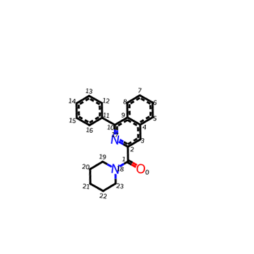 O=C(c1cc2ccccc2c(-c2ccccc2)n1)N1CCCCC1